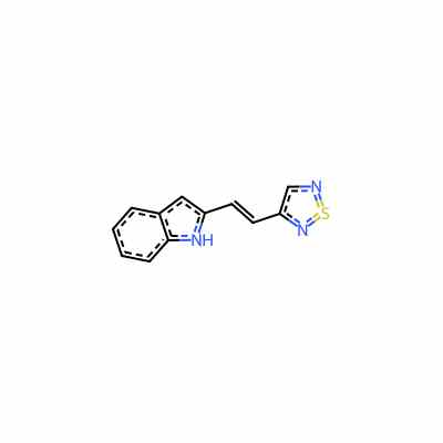 C(=C\c1cc2ccccc2[nH]1)/c1cnsn1